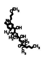 CCCCC(C)(C)C(=O)NC[C@H](O)[C@@H](C)C[C@@H](C(C)C)C(O)c1ccc2cnn(CCCOC)c2c1